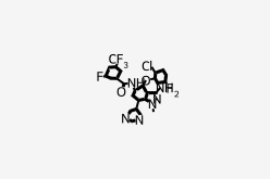 Cn1nc(N)c2c(Oc3cc(F)ccc3Cl)c(NC(=O)c3cc(F)cc(C(F)(F)F)c3)cc(-c3cncnc3)c21